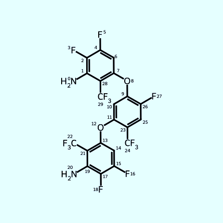 Nc1c(F)c(F)cc(Oc2cc(Oc3cc(F)c(F)c(N)c3C(F)(F)F)c(C(F)(F)F)cc2F)c1C(F)(F)F